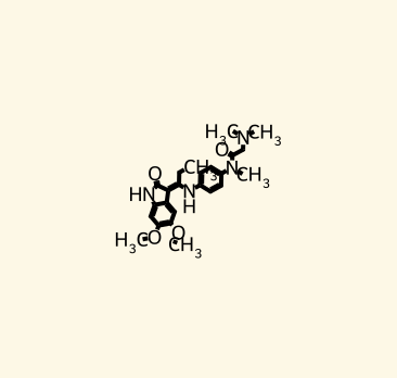 CCC(Nc1ccc(N(C)C(=O)CN(C)C)cc1)=C1C(=O)Nc2cc(OC)c(OC)cc21